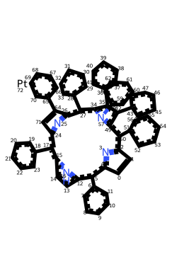 C1=Cc2nc1c(-c1ccccc1)c1ccc([nH]1)c(-c1ccccc1)c1nc(c(-c3ccccc3)c3c(-c4ccccc4)c(-c4ccccc4)c(c2-c2ccccc2)n3-c2ccccc2)C(c2ccccc2)=C1.[Pt]